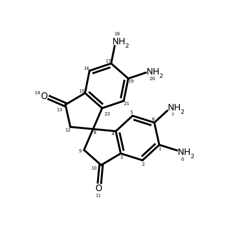 Nc1cc2c(cc1N)C1(CC2=O)CC(=O)c2cc(N)c(N)cc21